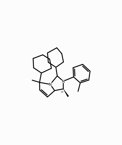 Cc1ccccc1N1C(C2CCCCC2)N2C(C=CC2(C)C2CCCCC2)[C@@H]1C